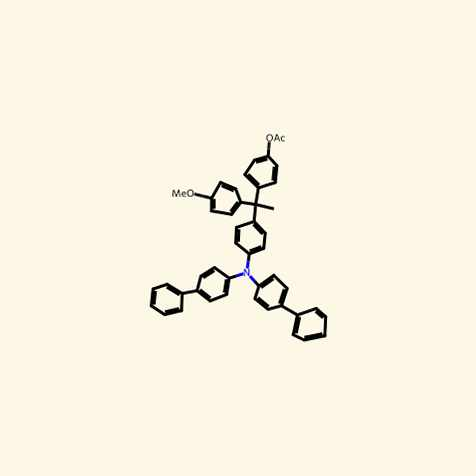 COc1ccc(C(C)(c2ccc(OC(C)=O)cc2)c2ccc(N(c3ccc(-c4ccccc4)cc3)c3ccc(-c4ccccc4)cc3)cc2)cc1